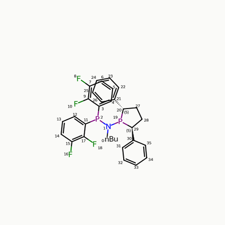 CCCCN(P(c1cccc(F)c1F)c1cccc(F)c1F)P1[C@H](c2ccccc2)CC[C@H]1c1ccccc1